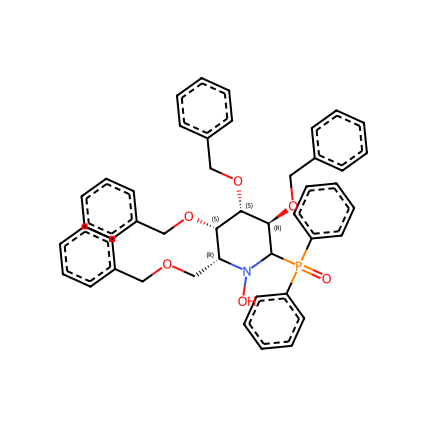 O=P(c1ccccc1)(c1ccccc1)C1[C@H](OCc2ccccc2)[C@@H](OCc2ccccc2)[C@@H](OCc2ccccc2)[C@@H](COCc2ccccc2)N1O